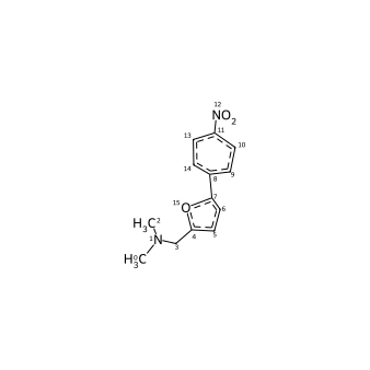 CN(C)Cc1ccc(-c2ccc([N+](=O)[O-])cc2)o1